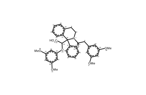 COc1cc(CC(=O)N2CCc3ccccc3C2(c2ccccc2)C(Oc2cc(OC)cc(OC)c2)C(=O)O)cc(OC)c1